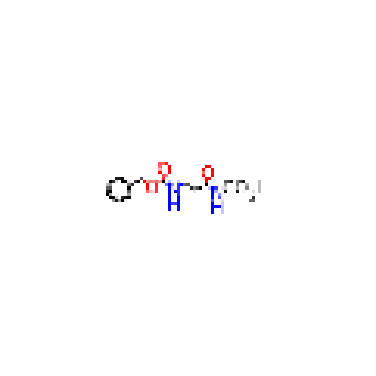 O=C(O)NC(=O)CCNC(=O)OCc1ccccc1